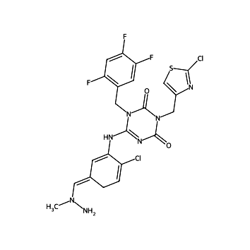 CN(N)/C=C1/C=C(Nc2nc(=O)n(Cc3csc(Cl)n3)c(=O)n2Cc2cc(F)c(F)cc2F)C(Cl)=CC1